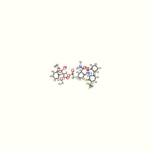 CCOC(=O)C(COC(=O)Cc1ccc(NC(=O)c2ccccc2-c2ccc(C(F)(F)F)c(F)c2)c(C(=O)N(C)C)c1)(C(=O)OCC)c1ccccc1